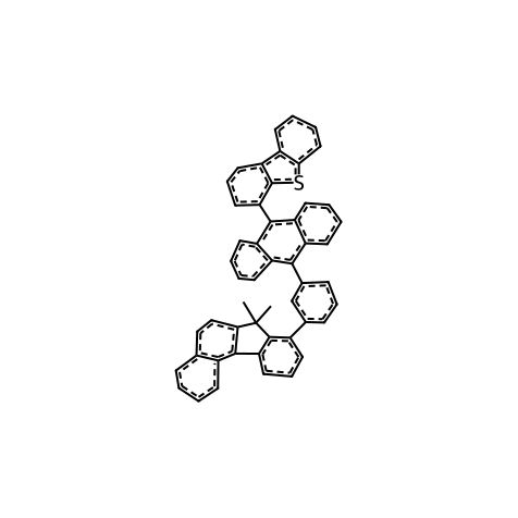 CC1(C)c2ccc3ccccc3c2-c2cccc(-c3cccc(-c4c5ccccc5c(-c5cccc6c5sc5ccccc56)c5ccccc45)c3)c21